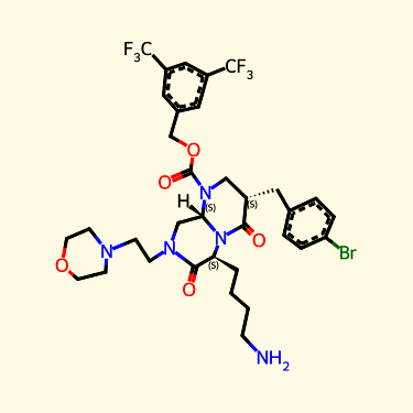 NCCCC[C@H]1C(=O)N(CCN2CCOCC2)C[C@@H]2N(C(=O)OCc3cc(C(F)(F)F)cc(C(F)(F)F)c3)C[C@H](Cc3ccc(Br)cc3)C(=O)N21